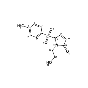 Cc1ccc(S(=O)(=O)n2ccc(=O)n2CCO)cc1